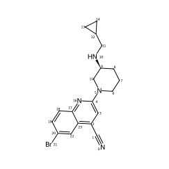 N#Cc1cc(N2CCC[C@H](NCC3CC3)C2)nc2ccc(Br)cc12